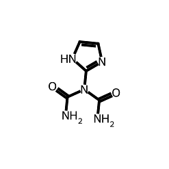 NC(=O)N(C(N)=O)c1ncc[nH]1